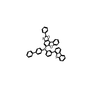 c1ccc(-c2ccc(N(c3cccc(-c4cccc5c4sc4ccccc45)c3)c3cc4nc(-c5ccccc5)oc4c4c3oc3ccccc34)cc2)cc1